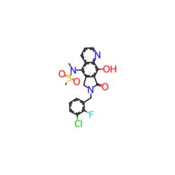 CN(c1c2c(c(O)c3ncccc13)C(=O)N(Cc1cccc(Cl)c1F)C2)S(C)(=O)=O